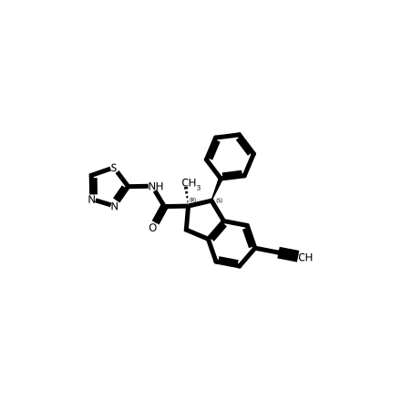 C#Cc1ccc2c(c1)[C@H](c1ccccc1)[C@](C)(C(=O)Nc1nncs1)C2